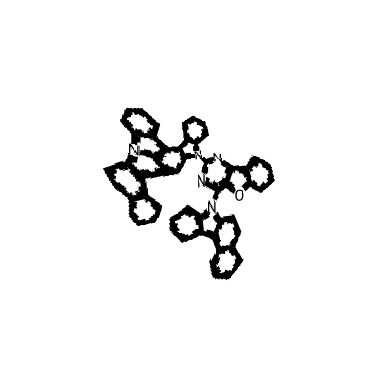 c1ccc2c(c1)ccc1c2c2ccccc2n1-c1nc(-n2c3ccccc3c3c4c5ccccc5n5c6ccc7ccccc7c6c(cc32)c45)nc2c1oc1ccccc12